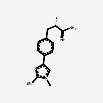 C[C@@H](Cc1ccc(-c2cn(C)c(C(C)(C)C)n2)cc1)C(=N)N